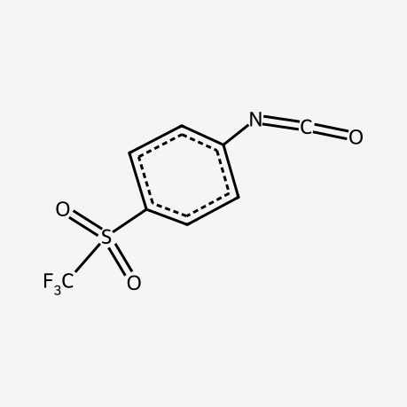 O=C=Nc1ccc(S(=O)(=O)C(F)(F)F)cc1